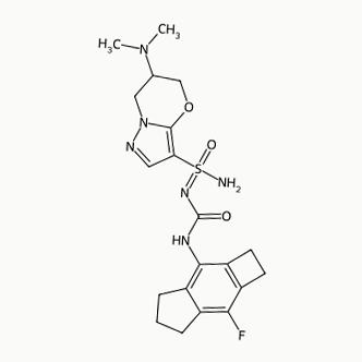 CN(C)C1COc2c(S(N)(=O)=NC(=O)Nc3c4c(c(F)c5c3CC5)CCC4)cnn2C1